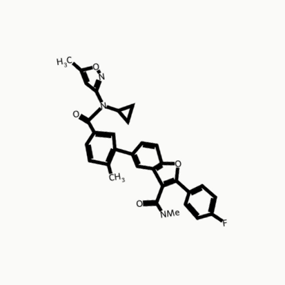 CNC(=O)c1c(-c2ccc(F)cc2)oc2ccc(-c3cc(C(=O)N(c4cc(C)on4)C4CC4)ccc3C)cc12